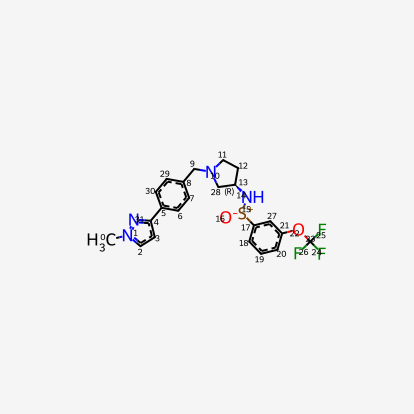 Cn1ccc(-c2ccc(CN3CC[C@@H](N[S+]([O-])c4cccc(OC(F)(F)F)c4)C3)cc2)n1